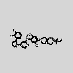 CC(C)(CF)N1CCC2(CCN(c3cc(Cl)c(Nc4cc(N5OCCC5c5cccc(F)c5F)ncn4)cc3Cl)CC2)CC1